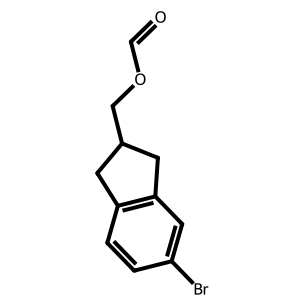 O=COCC1Cc2ccc(Br)cc2C1